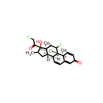 CC1C[C@H]2[C@@H]3C=CC4=CC(=O)C=C[C@]4(C)[C@@]3(Cl)C(F)C[C@]2(C)[C@@]1(O)C(=O)CF